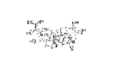 CC[C@@H](C(C)C)[C@H](O)[C@@H](O)[C@@H](C)[C@H]1CC[C@H]2[C@@H]3CC(=O)[C@H]4C[C@H](O)[C@H](O)C[C@]4(C)[C@H]3CC[C@]12C